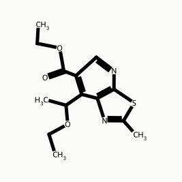 CCOC(=O)c1cnc2sc(C)nc2c1C(C)OCC